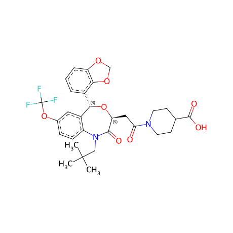 CC(C)(C)CN1C(=O)[C@H](CC(=O)N2CCC(C(=O)O)CC2)O[C@@H](c2cccc3c2OCO3)c2cc(OC(F)(F)F)ccc21